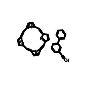 C#Cc1cccc(-c2ccccc2)c1.C1=Cc2cc3ccc(cc4nc(cc5ccc(cc1n2)[nH]5)C=C4)[nH]3